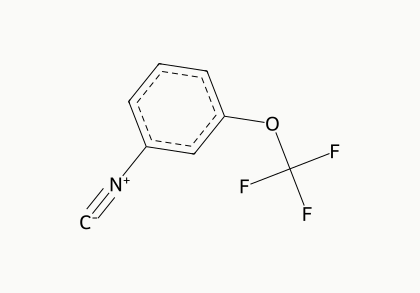 [C-]#[N+]c1cccc(OC(F)(F)F)c1